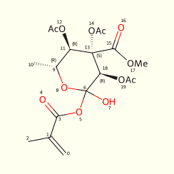 C=C(C)C(=O)OC1(O)O[C@H](C)[C@@H](OC(C)=O)[C@@](OC(C)=O)(C(=O)OC)[C@H]1OC(C)=O